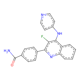 NC(=O)c1ccc(-c2nc3ccccc3c(Nc3ccncc3)c2F)cc1